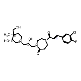 C[C@]1(CO)CCN(C[C@H](O)CN2CCN(C(=O)/C=C/c3ccc(F)c(Cl)c3)CCC2=O)C[C@@H]1O